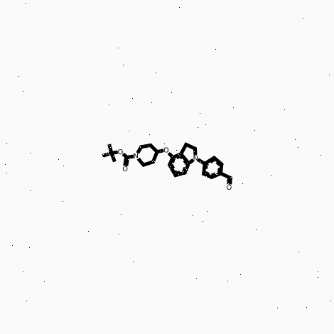 CC(C)(C)OC(=O)N1CCC(Oc2cccc3c2CCN3c2ccc(C=O)cc2)CC1